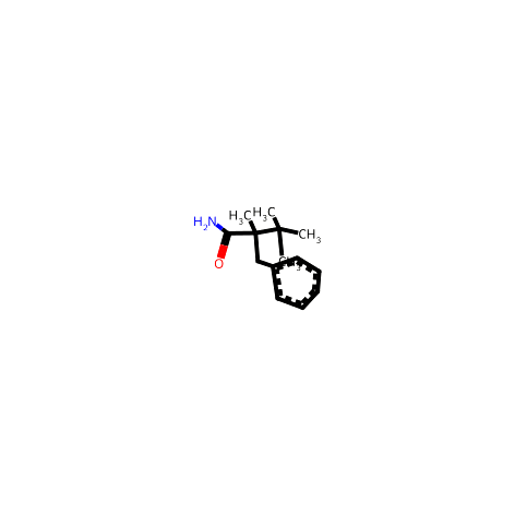 CC(C)(C)C(C)(Cc1ccccc1)C(N)=O